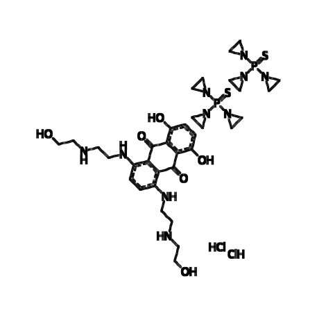 Cl.Cl.O=C1c2c(O)ccc(O)c2C(=O)c2c(NCCNCCO)ccc(NCCNCCO)c21.S=P(N1CC1)(N1CC1)N1CC1.S=P(N1CC1)(N1CC1)N1CC1